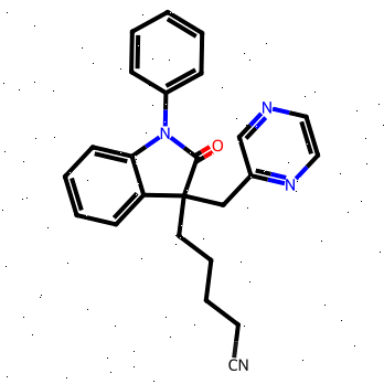 N#CCCCCC1(Cc2cnccn2)C(=O)N(c2ccccc2)c2ccccc21